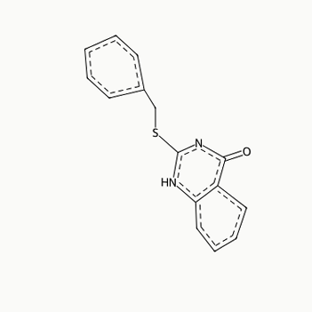 O=c1nc(SCc2ccccc2)[nH]c2ccccc12